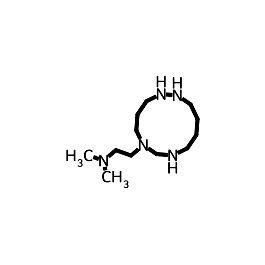 CN(C)CCN1CCCNNCCCCNC1